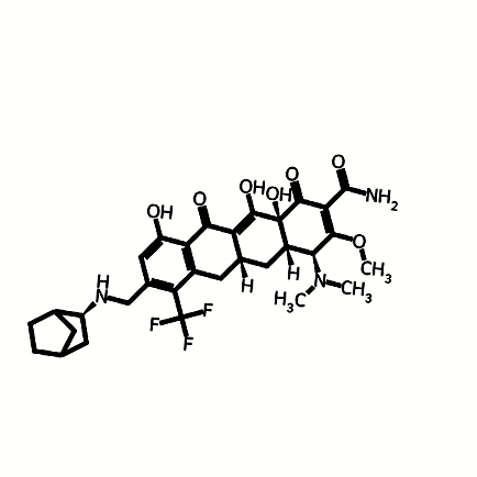 COC1=C(C(N)=O)C(=O)[C@@]2(O)C(O)=C3C(=O)c4c(O)cc(CN[C@H]5CC6CCC5C6)c(C(F)(F)F)c4C[C@H]3C[C@H]2[C@@H]1N(C)C